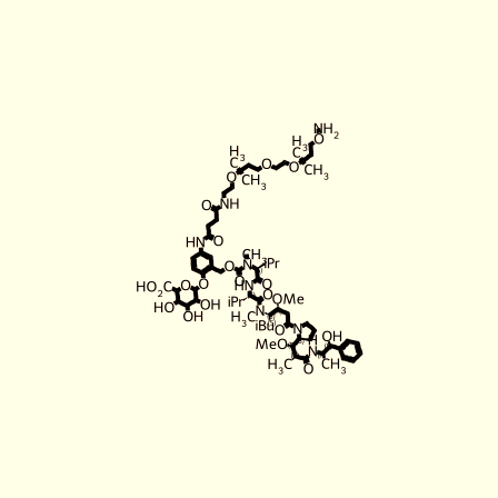 CC[C@H](C)[C@@H]([C@@H](CC(=O)N1CCC[C@H]1[C@H](OC)[C@@H](C)C(=O)N[C@H](C)[C@@H](O)c1ccccc1)OC)N(C)C(=O)[C@@H](NC(=O)[C@H](C(C)C)N(C)C(=O)OCc1cc(NC(=O)CCC(=O)NCCOC(C)(C)CCOCCOC(C)(C)CCON)ccc1OC1OC(C(=O)O)C(O)C(O)C1O)C(C)C